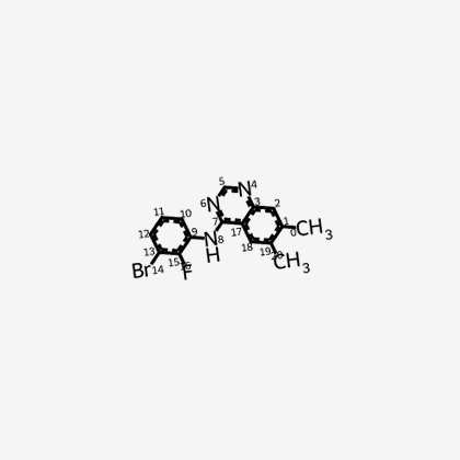 Cc1cc2ncnc(Nc3cccc(Br)c3F)c2cc1C